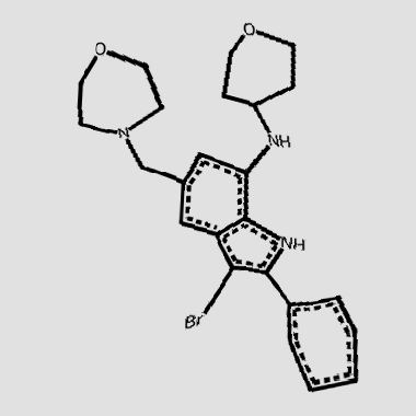 Brc1c(-c2ccccc2)[nH]c2c(NC3CCOCC3)cc(CN3CCOCC3)cc12